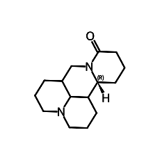 O=C1CCC[C@@H]2C3CCCN4CCCC(CN12)C34